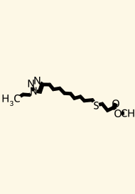 CCCn1cc(CCCCCCCCCSCCC(=O)OC)nn1